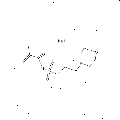 C=C(C)C(=O)OS(=O)(=O)CCCN1CCOCC1.[NaH]